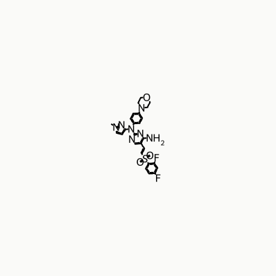 Cn1ccc(N(c2ccc(N3CCOCC3)cc2)c2ncc(/C=C/S(=O)(=O)c3ccc(F)cc3F)c(N)n2)n1